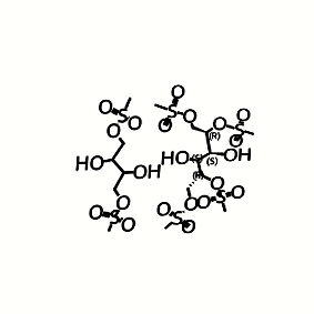 CS(=O)(=O)OCC(O)C(O)COS(C)(=O)=O.CS(=O)(=O)OC[C@@H](OS(C)(=O)=O)[C@@H](O)[C@H](O)[C@@H](COS(C)(=O)=O)OS(C)(=O)=O